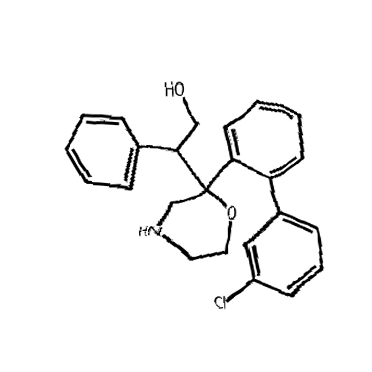 OCC(c1ccccc1)C1(c2ccccc2-c2cccc(Cl)c2)CNCCO1